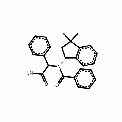 CC1(C)C[C@@H](N(C(=O)c2ccccc2)C(C(N)=O)c2ccccc2)c2ccccc21